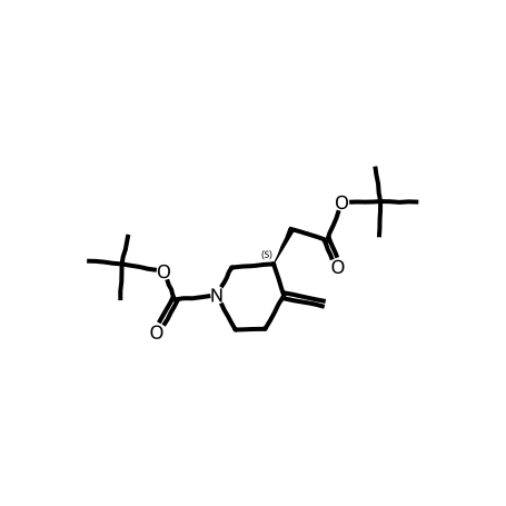 C=C1CCN(C(=O)OC(C)(C)C)C[C@H]1CC(=O)OC(C)(C)C